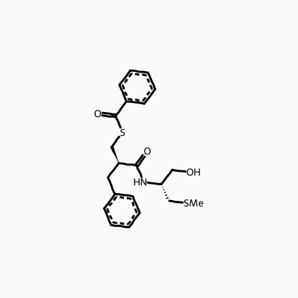 CSC[C@@H](CO)NC(=O)[C@H](CSC(=O)c1ccccc1)Cc1ccccc1